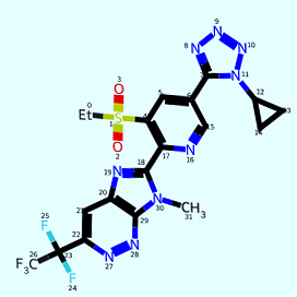 CCS(=O)(=O)c1cc(-c2nnnn2C2CC2)cnc1-c1nc2cc(C(F)(F)C(F)(F)F)nnc2n1C